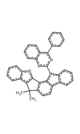 CC1(C)c2ccc3c4ccccc4n(-c4nc(-c5ccccc5)c5ccccc5n4)c3c2-c2sc3ccccc3c21